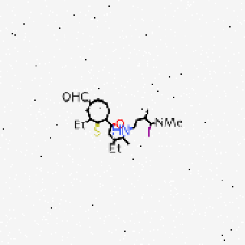 CCC1CC(C=O)CCCC(C(=O)CC(CC)C(C)NCCC(C)C(I)NC)C1=S